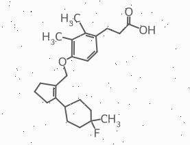 Cc1c(CCC(=O)O)ccc(OCC2=C(C3CCC(C)(F)CC3)CCC2)c1C